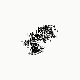 CC1O[C@@H](O[C@H]2C(O[C@@H]3OC(CO)[C@H](O)[C@@H](O)C3O)[C@H](OC3CC[C@@]4(C)C(CC[C@]5(C)C4CC=C4[C@@H]6CC(C)(C)CC[C@]6(C(=O)O[C@@H]6OC(C)[C@H](O)[C@@H](O)C6O[C@@H]6OC(C)[C@H](O[C@@H]7OC[C@@H](O)[C@@H](O)C7O)[C@H](O[C@@H]7OC(CO)[C@@H](O)[C@@H](O)C7O)C6O)CC[C@]45C)[C@]3(C)C=O)OC(C(=O)O)[C@H]2O)C(O)[C@@H](O)[C@H]1O